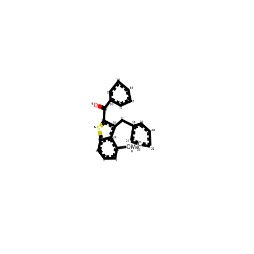 COc1cccc2sc(C(=O)c3ccccc3)c(Cc3ccccc3)c12